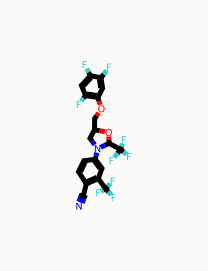 N#Cc1ccc(N2CC(COc3cc(F)c(F)cc3F)OC2C(F)(F)F)cc1C(F)(F)F